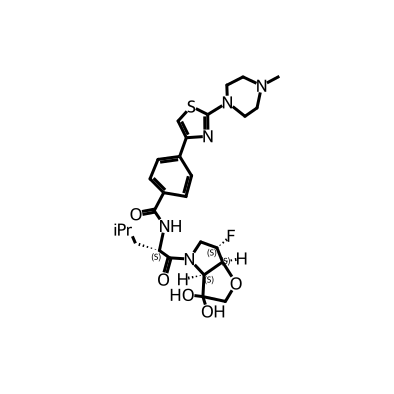 CC(C)C[C@H](NC(=O)c1ccc(-c2csc(N3CCN(C)CC3)n2)cc1)C(=O)N1C[C@H](F)[C@H]2OCC(O)(O)[C@H]21